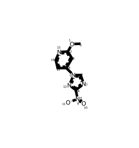 COc1cc(-n2cnc([N+](=O)[O-])n2)ccn1